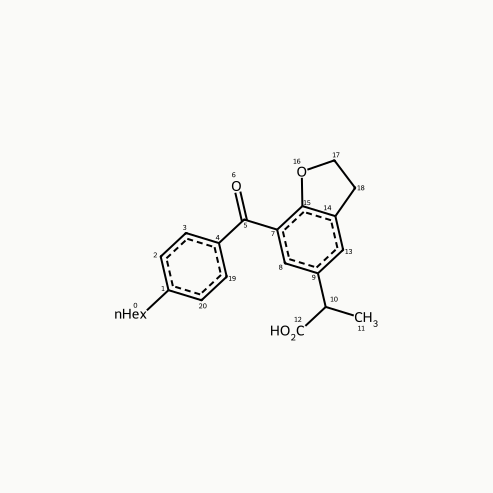 CCCCCCc1ccc(C(=O)c2cc(C(C)C(=O)O)cc3c2OCC3)cc1